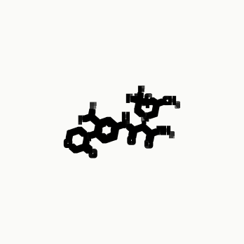 CC(C)CN(CC(F)(F)F)[C@H](C(N)=O)C(=O)Nc1ccc(N2CCOCC2=O)c(C(F)F)c1